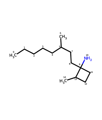 CCCCCC(C)CCC1(N)CCC1C